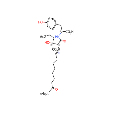 CCCCCCCC(=O)CCCCCC/C=C/[C@H](C(=O)N[C@@H](Cc1ccc(O)cc1)C(=O)O)[C@@](O)(CCOC(C)=O)C(=O)O